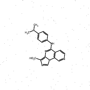 CN(C)c1ccc(Nc2nc3c(C(=O)O)ncn3c3cnccc23)cc1